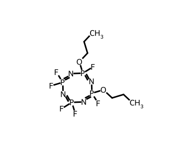 CCCOP1(F)=NP(F)(F)=NP(F)(F)=NP(F)(OCCC)=N1